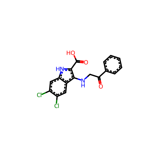 O=C(CNc1c(C(=O)O)[nH]c2cc(Cl)c(Cl)cc12)c1ccccc1